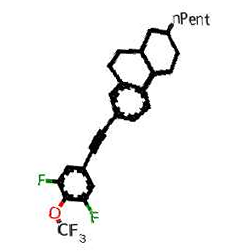 CCCCCC1CCC2c3ccc(C#Cc4cc(F)c(OC(F)(F)F)c(F)c4)cc3CCC2C1